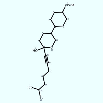 CCCCCC1CCC(C2CCC(O)(C#CCCCC(CC)CC)OC2)CC1